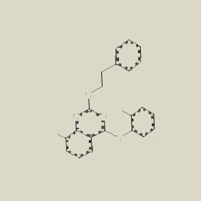 Cc1ccccc1Nc1nc(NCCc2ccccc2)nc2c(C)cccc12.Cl